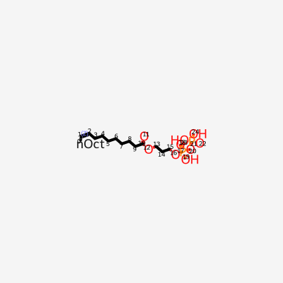 CCCCCCCC/C=C\CCCCCCCC(=O)OCCCOP(=O)(O)OP(=O)(O)O